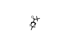 Cc1ncc(C(=O)C(C)(C)C)cn1